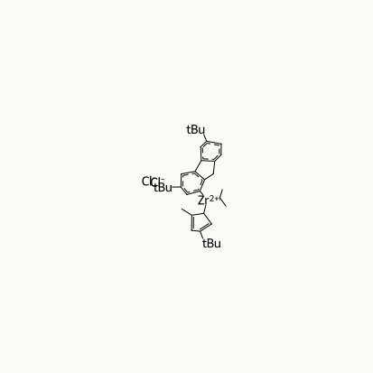 CC1=CC(C(C)(C)C)=C[CH]1[Zr+2](=[C](C)C)[c]1cc(C(C)(C)C)cc2c1Cc1ccc(C(C)(C)C)cc1-2.[Cl-].[Cl-]